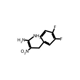 NC(N)=C(Cc1ccc(F)c(F)c1)[N+](=O)[O-]